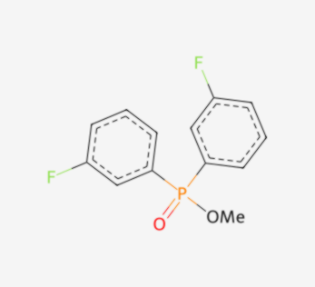 COP(=O)(c1cccc(F)c1)c1cccc(F)c1